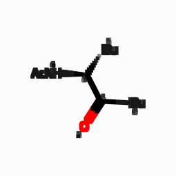 CCC(C)C(=O)[C@@H](NC(C)=O)[C@@H](C)CC